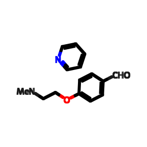 CNCCOc1ccc(C=O)cc1.c1ccncc1